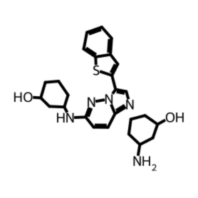 NC1CCCC(O)C1.OC1CCCC(Nc2ccc3ncc(-c4cc5ccccc5s4)n3n2)C1